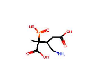 CC(C(=O)O)(C(CN)CC(=O)O)[PH](=O)O